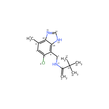 C=C(NCc1c(Cl)cc(C)c2nc[nH]c12)C(C)(C)C